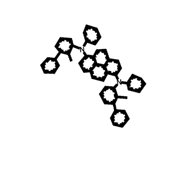 Cc1c(-c2ccccc2)cccc1N(c1ccccc1)c1ccc2ccc3c(N(c4ccccc4)c4cccc(-c5ccccc5)c4C)ccc4ccc1c2c43